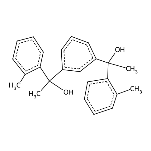 Cc1ccccc1C(C)(O)c1cccc(C(C)(O)c2ccccc2C)c1